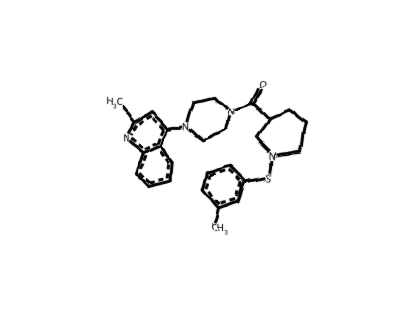 Cc1cccc(SN2CCCC(C(=O)N3CCN(c4cc(C)nc5ccccc45)CC3)C2)c1